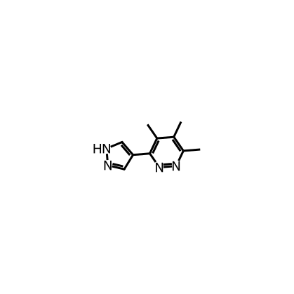 Cc1nnc(-c2cn[nH]c2)c(C)c1C